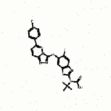 CC(C)(C)N(C(=O)O)c1nc2cc(F)c(Sc3nnc4ccc(-c5ccc(F)cc5)nn34)cc2s1